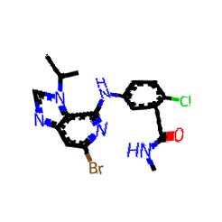 CNC(=O)c1cc(Nc2nc(Br)cc3ncn(C(C)C)c23)ccc1Cl